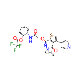 Cn1nc(OCC(=O)Nc2ccccc2OC(=O)C(F)(F)F)c2scc(-c3ccncc3)c2c1=O